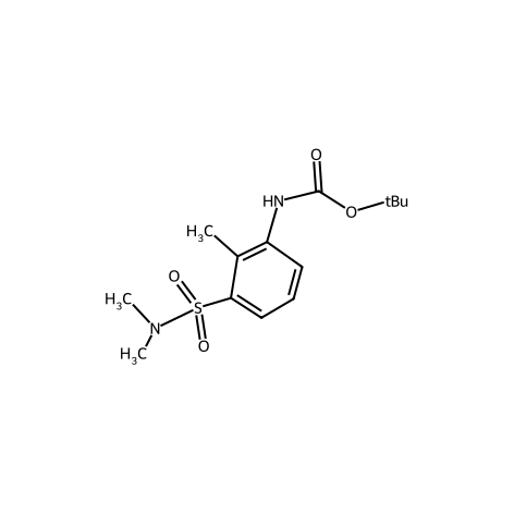 Cc1c(NC(=O)OC(C)(C)C)cccc1S(=O)(=O)N(C)C